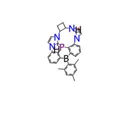 Cc1cc(C)c(B2c3cccc4c3P3c5c2cccc5N2C=CN(C5CCC5N5C=CN4[C@H]53)[C@H]2C)c(C)c1